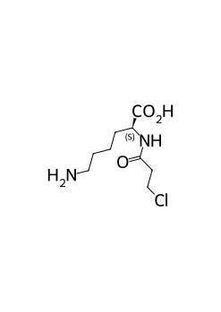 NCCCC[C@H](NC(=O)CCCl)C(=O)O